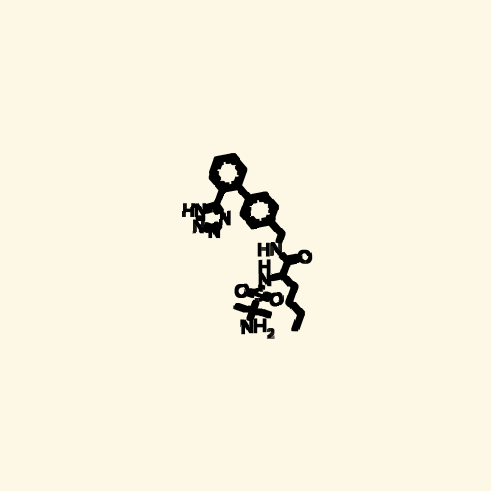 CCCCC(NS(=O)(=O)C(C)(C)N)C(=O)NCc1ccc(-c2ccccc2-c2nnn[nH]2)cc1